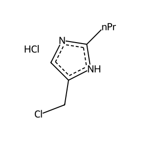 CCCc1ncc(CCl)[nH]1.Cl